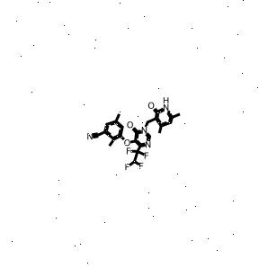 Cc1cc(C#N)c(C)c(Oc2c(C(F)(F)C(F)F)ncn(Cc3c(C)cc(C)[nH]c3=O)c2=O)c1